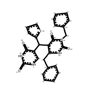 O=c1[nH]cc(C(c2cccs2)c2c(Cc3ccccc3)[nH]c(=O)n(Cc3ccccc3)c2=O)c(=O)[nH]1